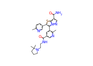 Cc1ccc(-c2sc3c(C(N)=O)cnn3c2-c2cc(C(=O)NCCN3CCCC3(C)C)cnc2C)cn1